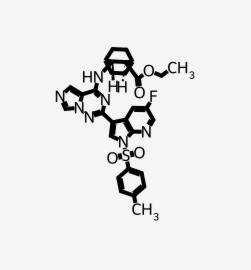 CCOC(=O)[C@@H]1C2CCC(CC2)[C@H]1Nc1nc(-c2cn(S(=O)(=O)c3ccc(C)cc3)c3ncc(F)cc23)nn2cncc12